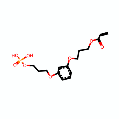 C=CC(=O)OCCCOc1cccc(OCCCOP(=O)(O)O)c1